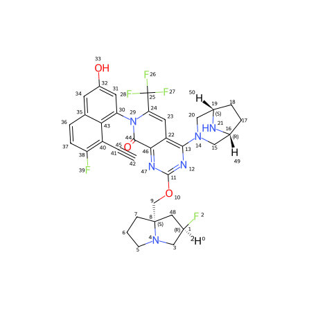 [2H][C@]1(F)CN2CCC[C@@]2(COc2nc(N3C[C@H]4CC[C@@H](C3)N4)c3cc(C(F)(F)F)n(-c4cc(O)cc5ccc(F)c(C#C)c45)c(=O)c3n2)C1